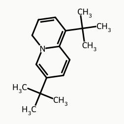 CC(C)(C)C1=CN2CC=CC(C(C)(C)C)=C2C=C1